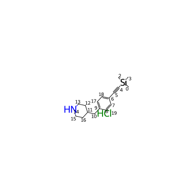 C[Si](C)(C)C#Cc1ccc(CC2CCNCC2)cc1.Cl